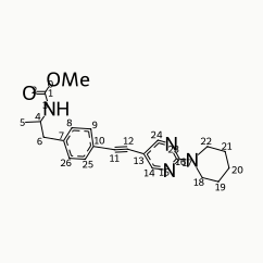 COC(=O)NC(C)Cc1ccc(C#Cc2cnc(N3CCCCC3)nc2)cc1